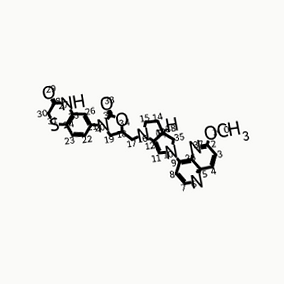 COc1ccc2nccc(N3C=C4[C@H](CCN4CC4CN(c5ccc6c(c5)NC(=O)CS6)C(=O)O4)C3)c2n1